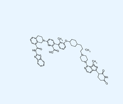 Cc1c(OC2CCC(C[C@H](C)CN3CCN(c4nccc5c(C6CCC(=O)NC6=O)nn(C)c45)CC3)CC2)cccc1-c1ccc(N2CCc3cccc(C(=O)Nc4nc5ccccc5s4)c3C2)nc1C(=O)O